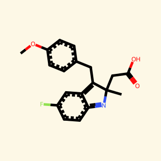 COc1ccc(CC2=c3cc(F)ccc3=NC2(C)CC(=O)O)cc1